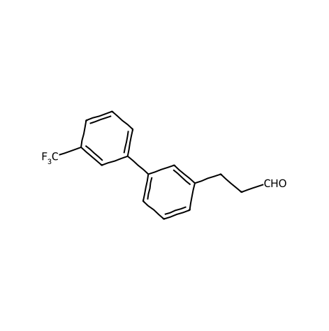 O=CCCc1cccc(-c2cccc(C(F)(F)F)c2)c1